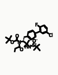 CCC(=O)N(C(=O)OC(C)(C)C)[C@H](Cc1ccc(-c2cc(Cl)ccc2F)cc1)C(C)(C)N[S+]([O-])C(C)(C)C